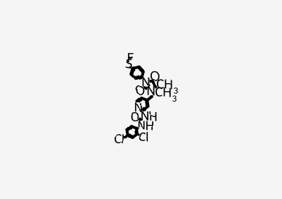 CC1(C)C(=O)N(c2ccc(SF)cc2)C(=O)N1Cc1ccnc(NC(=O)Nc2ccc(Cl)cc2Cl)c1